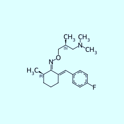 C[C@H](CON=C1C(=Cc2ccc(F)cc2)CCC[C@H]1C)CN(C)C